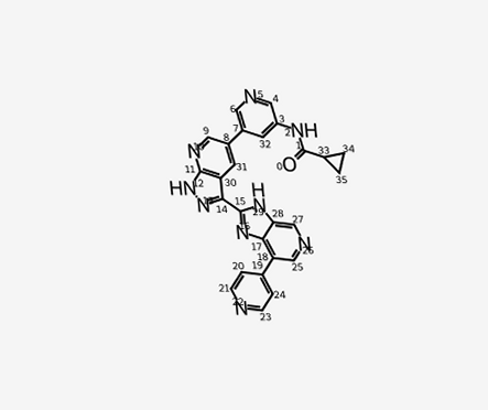 O=C(Nc1cncc(-c2cnc3[nH]nc(-c4nc5c(-c6ccncc6)cncc5[nH]4)c3c2)c1)C1CC1